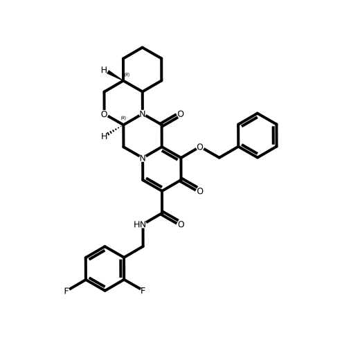 O=C(NCc1ccc(F)cc1F)c1cn2c(c(OCc3ccccc3)c1=O)C(=O)N1C3CCCC[C@H]3CO[C@@H]1C2